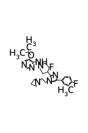 Cc1cc(-c2cn(CCN3CCC3)c(C3CCN(Nc4ncncc4OC(C)C)CC3F)n2)ccc1F